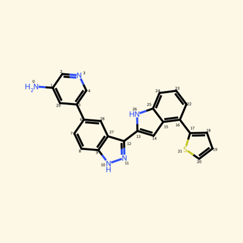 Nc1cncc(-c2ccc3[nH]nc(-c4cc5c(-c6cccs6)cccc5[nH]4)c3c2)c1